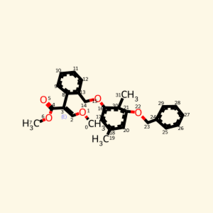 CO/C=C(/C(=O)OC)c1ccccc1COc1cc(C)cc(OCc2ccccc2)c1C